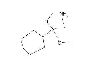 CO[Si](CN)(OC)C1CCCCC1